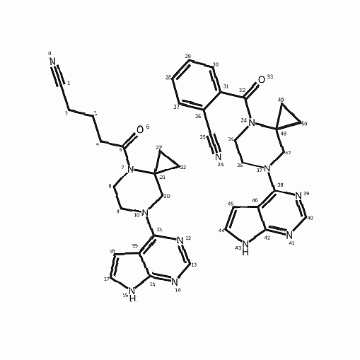 N#CCCCC(=O)N1CCN(c2ncnc3[nH]ccc23)CC12CC2.N#Cc1ccccc1C(=O)N1CCN(c2ncnc3[nH]ccc23)CC12CC2